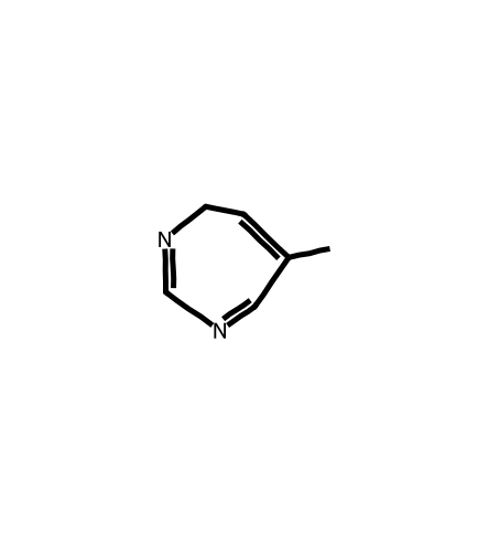 CC1=CCN=CN=C1